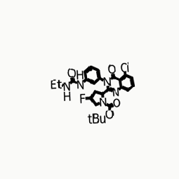 CCNC(=O)Nc1cccc(-n2c(C3CC(F)CN3C(=O)OC(C)(C)C)nc3cccc(Cl)c3c2=O)c1